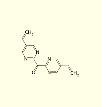 C=Cc1cnc(C(=O)c2ncc(C=C)cn2)nc1